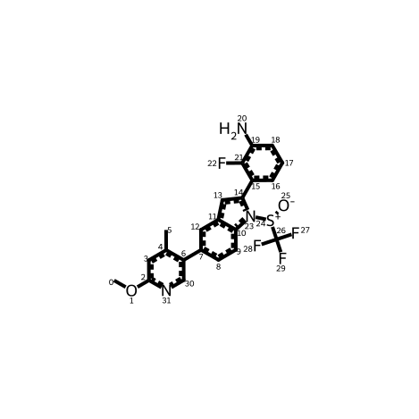 COc1cc(C)c(-c2ccc3c(c2)cc(-c2cccc(N)c2F)n3[S+]([O-])C(F)(F)F)cn1